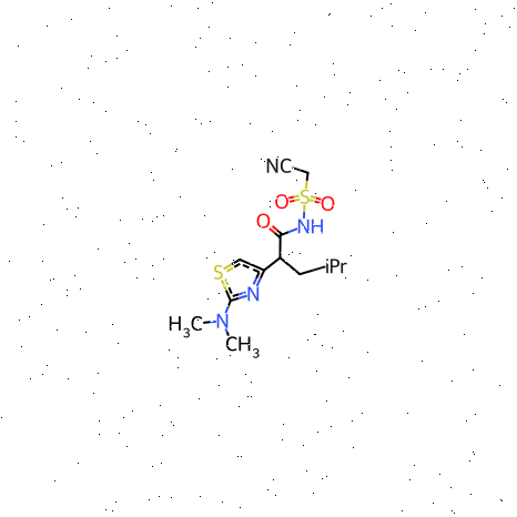 CC(C)CC(C(=O)NS(=O)(=O)CC#N)c1csc(N(C)C)n1